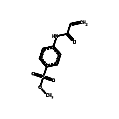 C=CC(=O)Nc1ccc(S(=O)(=O)OC)cc1